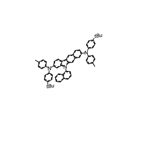 Cc1ccc(N(c2ccc(C(C)(C)C)cc2)c2ccc3cc4c5ccc(N(c6ccc(C)cc6)c6ccc(C(C)(C)C)cc6)cc5n(-c5cccc6ccccc56)c4cc3c2)cc1